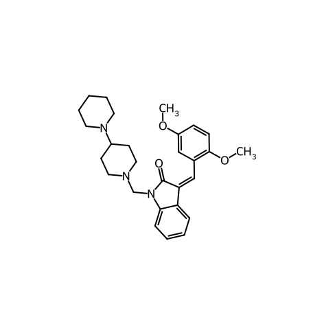 COc1ccc(OC)c(C=C2C(=O)N(CN3CCC(N4CCCCC4)CC3)c3ccccc32)c1